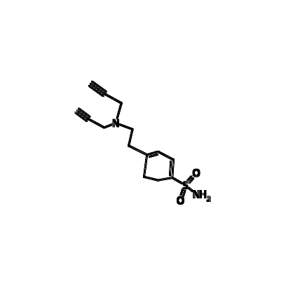 C#CCN(CC#C)CCC1=CC=C(S(N)(=O)=O)CC1